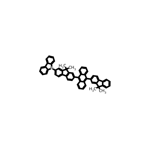 CC1(C)c2ccccc2-c2ccc(-c3c4ccccc4c(-c4ccc5c(c4)C(C)(C)c4cc(-n6c7ccccc7c7ccccc76)ccc4-5)c4ccccc34)cc21